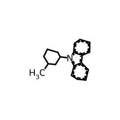 CC1CCCC(n2c3ccccc3c3ccccc32)C1